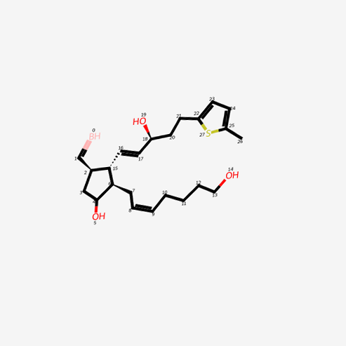 B=C[C@@H]1CC(O)[C@H](C/C=C\CCCCO)[C@H]1/C=C/[C@@H](O)CCc1ccc(C)s1